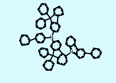 c1ccc(-c2ccc(N(c3ccc4c(c3)C(c3ccccc3)(c3ccccc3)c3ccccc3-4)c3ccc4c(c3)C(c3ccccc3)(c3ccccc3)c3cccc(-n5c6ccccc6c6cc(-c7ccccc7)ccc65)c3-4)cc2)cc1